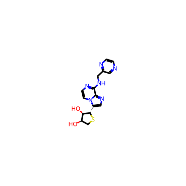 O[C@@H]1[C@H](O)CS[C@H]1c1cnc2c(NCc3cnccn3)nccn12